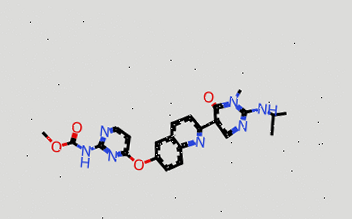 COC(=O)Nc1nccc(Oc2ccc3nc(-c4cnc(NC(C)C)n(C)c4=O)ccc3c2)n1